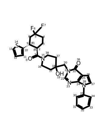 O=C([C@@H]1CCC(F)(F)C[C@H]1c1cccs1)N1CCC(O)(Cn2cnc3c(ccn3-c3ccccc3)c2=O)CC1